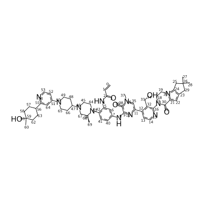 C=CC(=O)Nc1cc(Nc2nc(-c3ccnc(N4CCn5c(cc6c5CC(C)(C)C6)C4=O)c3CO)cn(C)c2=O)ccc1N1CCN(C2CCN(c3ccnc(C4CCC(C)(O)CC4)c3)CC2)C[C@@H]1C